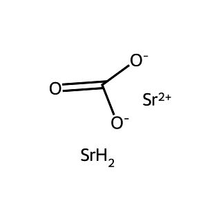 O=C([O-])[O-].[Sr+2].[SrH2]